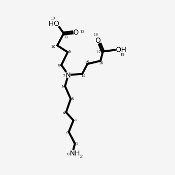 NCCCCCCN(CCCC(=O)O)CCCC(=O)O